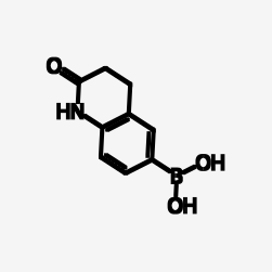 O=C1CCc2cc(B(O)O)ccc2N1